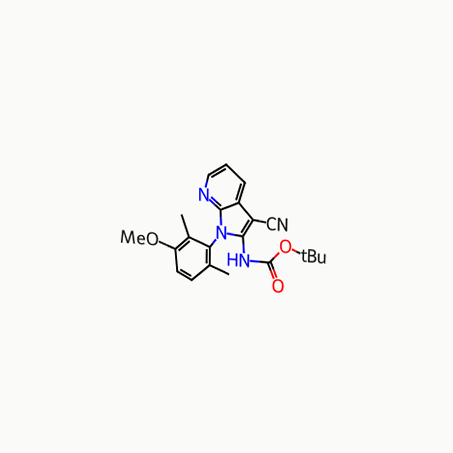 COc1ccc(C)c(-n2c(NC(=O)OC(C)(C)C)c(C#N)c3cccnc32)c1C